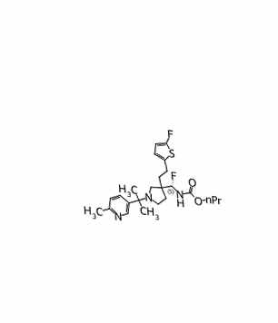 CCCOC(=O)N[C@@H](F)C1(CCc2ccc(F)s2)CCN(C(C)(C)c2ccc(C)nc2)C1